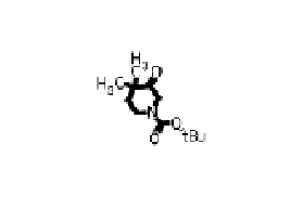 CC(C)(C)OC(=O)N1CCC(C)(C)C(=O)C1